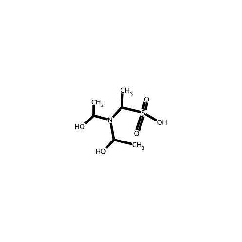 CC(O)N(C(C)O)C(C)S(=O)(=O)O